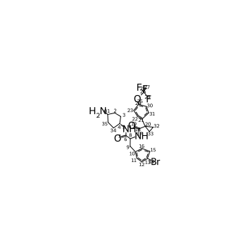 N[C@H]1CC[C@@H](NC(=O)C(Cc2ccc(Br)cc2)NC(=O)C2(c3ccc(OC(F)(F)F)cc3)CC2)CC1